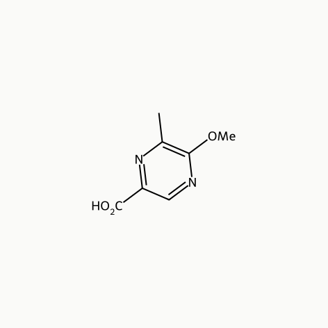 COc1ncc(C(=O)O)nc1C